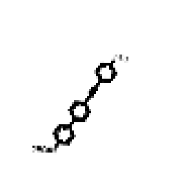 CCCCc1ccc(C#Cc2ccc(-c3ccc(N=C=S)cc3)cc2)cc1